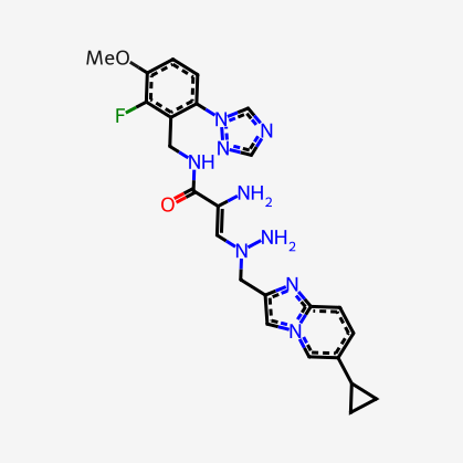 COc1ccc(-n2cncn2)c(CNC(=O)/C(N)=C/N(N)Cc2cn3cc(C4CC4)ccc3n2)c1F